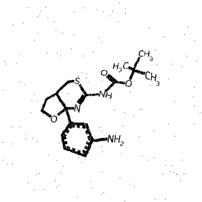 CC(C)(C)OC(=O)NC1=NC2(c3cccc(N)c3)OCCC2CS1